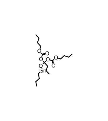 CCCCOC(=O)OC(CCC)([O][Sn][CH2]CCC)OC(=O)OCCCC